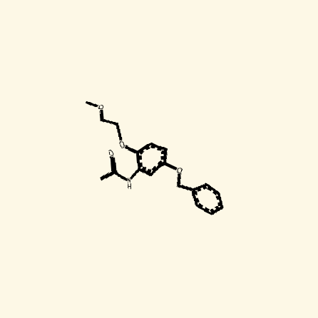 COCCOc1ccc(OCc2ccccc2)cc1NC(C)=O